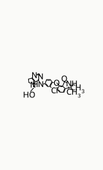 CC1(C)NC(=O)c2c(Oc3ccc(Nc4ncnc5c4N(CCO)CC5)cc3Cl)cccc21